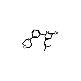 CC(C)=Cc1cc(Br)nn1-c1cccc(N2CCOCC2)c1